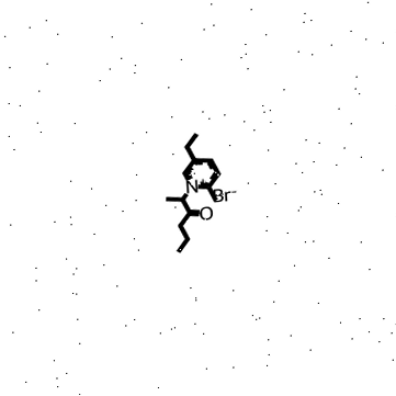 CCCC(=O)C(C)[n+]1cc(CC)ccc1C.[Br-]